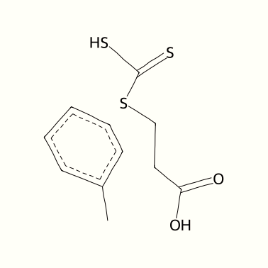 Cc1ccccc1.O=C(O)CCSC(=S)S